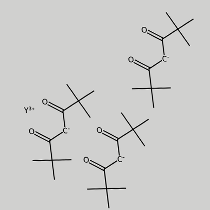 CC(C)(C)C(=O)[CH-]C(=O)C(C)(C)C.CC(C)(C)C(=O)[CH-]C(=O)C(C)(C)C.CC(C)(C)C(=O)[CH-]C(=O)C(C)(C)C.[Y+3]